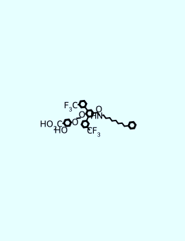 O=C(NCCCCCCCCc1ccccc1)c1cc(-c2cccc(C(F)(F)F)c2)c(OCCOc2ccc(C(=O)O)c(O)c2)c(-c2cccc(C(F)(F)F)c2)c1